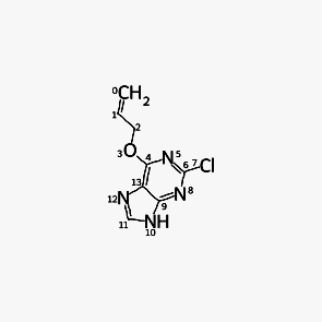 C=CCOc1nc(Cl)nc2[nH]cnc12